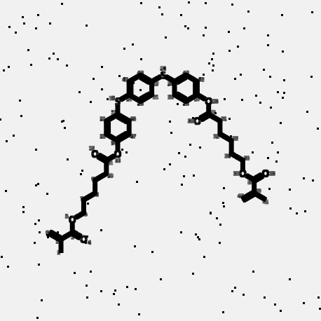 C=C(C)C(=O)OCCCCCC(=O)Oc1ccc(Sc2ccc(Sc3ccc(OC(=O)CCCCCOC(=O)C(=C)C)cc3)cc2)cc1